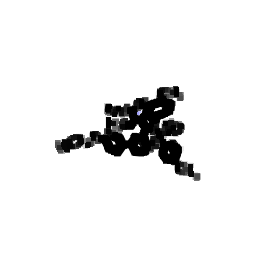 C=C/C(=C(/C#N)SC)c1c(-c2cccc(-c3ccc(C(=O)O)nc3)c2)n(S(C)(N=O)c2ccc(C)cc2)c2ccc(C)cc12